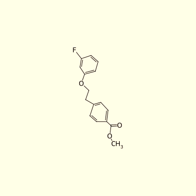 COC(=O)c1ccc(CCOc2cccc(F)c2)cc1